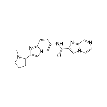 CN1CCCC1c1cn2cc(NC(=O)c3cn4ccncc4n3)ccc2n1